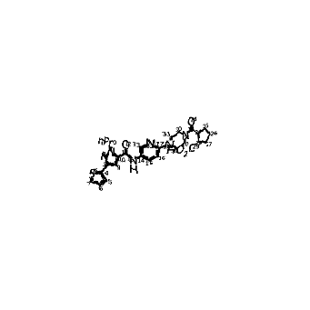 CCCn1nc(-c2cccs2)cc1C(=O)Nc1ccc(N2CCN(C(=O)[C@H]3CCC[C@@H]3C(=O)O)CC2)nc1